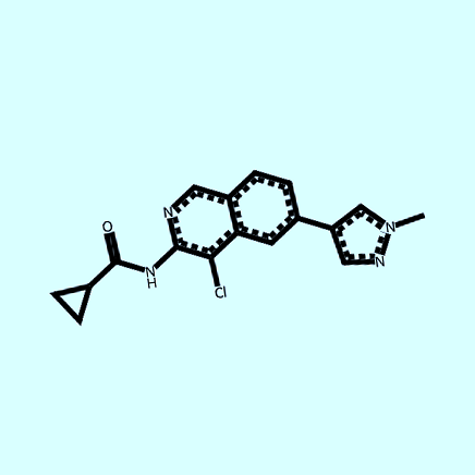 Cn1cc(-c2ccc3cnc(NC(=O)C4CC4)c(Cl)c3c2)cn1